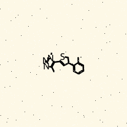 [CH2]c1ccccc1C1C=C(c2c(C)nnn2C)SC1